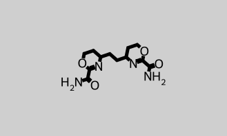 NC(=O)C1=NC(CCC2CCOC(C(N)=O)=N2)CCO1